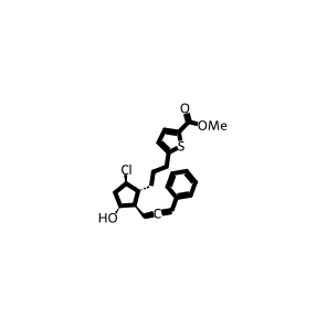 COC(=O)c1ccc(CCC[C@@H]2[C@@H](C=C=Cc3ccccc3)[C@H](O)C[C@H]2Cl)s1